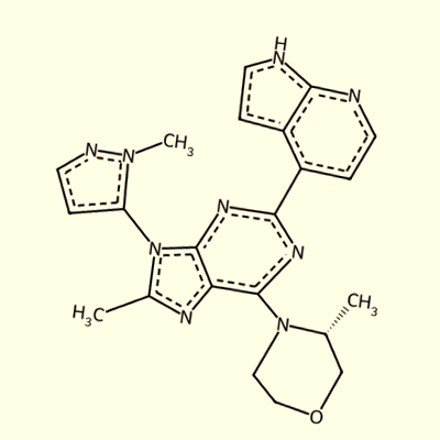 Cc1nc2c(N3CCOC[C@H]3C)nc(-c3ccnc4[nH]ccc34)nc2n1-c1ccnn1C